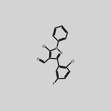 O=Cc1c(-c2cc(F)ccc2Cl)nn(-c2ccccc2)c1Cl